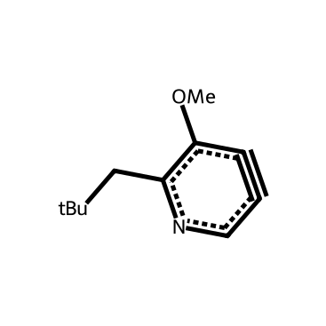 COc1c#ccnc1CC(C)(C)C